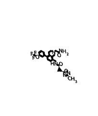 Cc1noc([C@@H]2C[C@@H]2C(=O)NCc2ccc(-c3cccc(OC(F)(F)F)c3)c3c2CN(CC(N)=O)CC3)n1